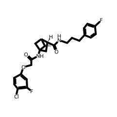 O=C(COc1ccc(Cl)c(F)c1)NC12CC(C1)[C@@H](C(=O)NCCCc1ccc(F)cc1)C2